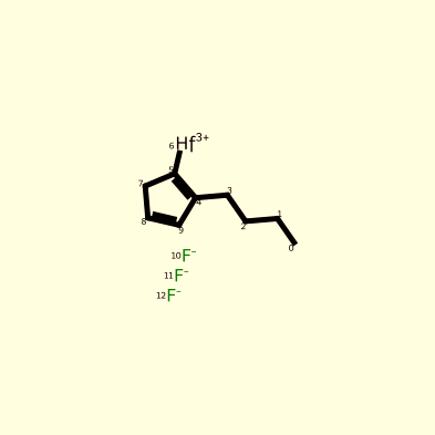 CCCCC1=[C]([Hf+3])CC=C1.[F-].[F-].[F-]